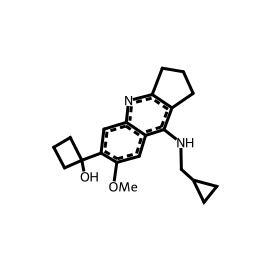 COc1cc2c(NCC3CC3)c3c(nc2cc1C1(O)CCC1)CCC3